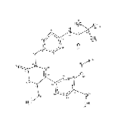 CCC1SC(=O)N(Cc2ccc(NC(=O)C(C)(C)C)cc2)N=C1c1ccc(OC)c(OCF)c1